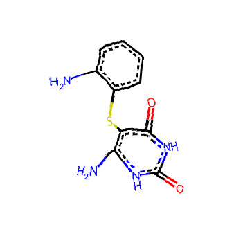 Nc1ccccc1Sc1c(N)[nH]c(=O)[nH]c1=O